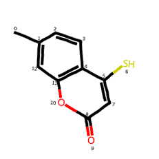 Cc1ccc2c(S)cc(=O)oc2c1